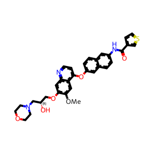 COc1cc2c(Oc3ccc4cc(NC(=O)c5ccsc5)ccc4c3)ccnc2cc1OC[C@H](O)CN1CCOCC1